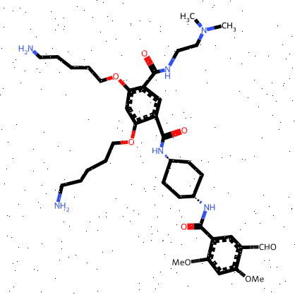 COc1cc(OC)c(C(=O)N[C@H]2CC[C@@H](NC(=O)c3cc(C(=O)NCCN(C)C)c(OCCCCCN)cc3OCCCCCN)CC2)cc1C=O